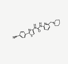 N#Cc1ccc(-c2nc(NC(=O)Nc3cccc(CN4CCCCC4)n3)cs2)cc1